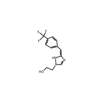 OCCN1C=NC(=Cc2ccc(C(F)(F)F)cc2)N1